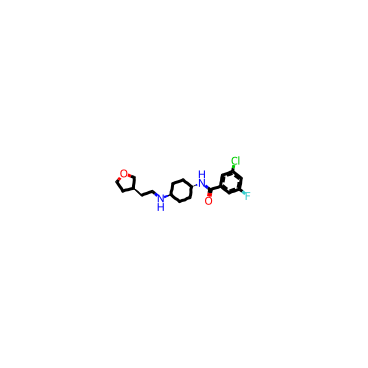 O=C(N[C@H]1CC[C@H](NCC[C@H]2CCOC2)CC1)c1cc(F)cc(Cl)c1